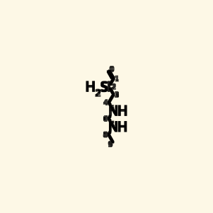 C=C[SiH2]CCNCNCC